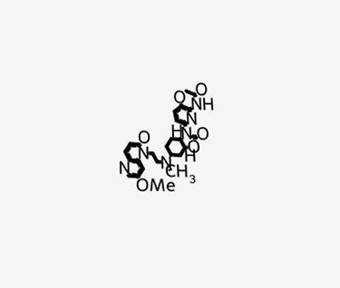 COc1cnc2ccc(=O)n(CCN(C)[C@H]3CC[C@H]4[C@@H](C3)OC(=O)N4c3ccc4c(n3)NC(=O)CO4)c2c1